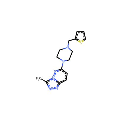 FC(F)(F)c1nnc2ccc(N3CCN(Cc4cccs4)CC3)nn12